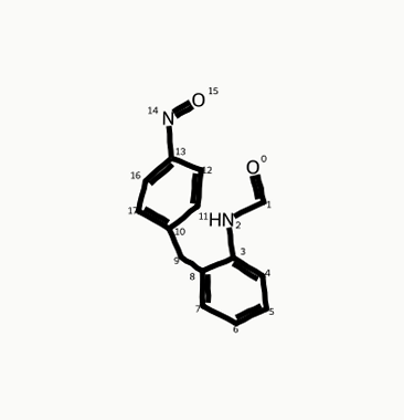 O=CNc1ccccc1Cc1ccc(N=O)cc1